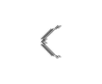 Cl.Cl.Cl.Cl.Cl.Cl.Cl.Cl.Cl.Cl.Cl.Cl.Cl.Cl.Cl.Cl.Cl.Cl.Cl.Cl.Cl.[Al+3].[Al+3].[Al+3].[Al+3].[Al+3].[Zr+4].[Zr+4].[Zr+4].[Zr+4].[Zr+4]